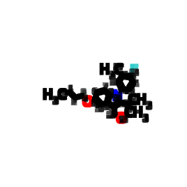 CCCCOc1ccc2c(c1)c(C=O)c(C(C)C)n2-c1ccc(F)c(C)c1